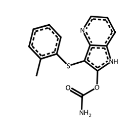 Cc1ccccc1Sc1c(OC(N)=O)[nH]c2cccnc12